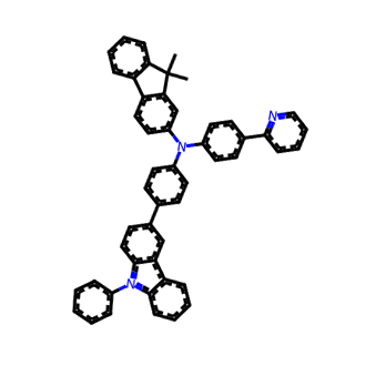 CC1(C)c2ccccc2-c2ccc(N(c3ccc(-c4ccc5c(c4)c4ccccc4n5-c4ccccc4)cc3)c3ccc(-c4ccccn4)cc3)cc21